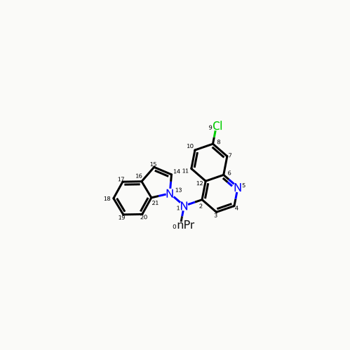 CCCN(c1ccnc2cc(Cl)ccc12)n1ccc2ccccc21